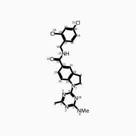 CNc1nc(C)nc(N2CCc3cc(C(=O)NCc4ccc(Cl)cc4Cl)ccc32)n1